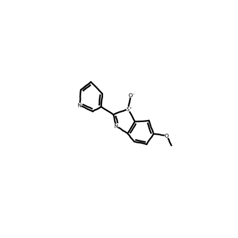 COc1ccc2nc(-c3cccnc3)[s+]([O-])c2c1